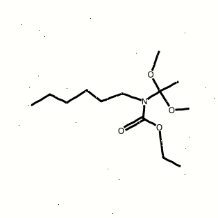 [CH2]CCCCCN(C(=O)OCC)C(C)(OC)OC